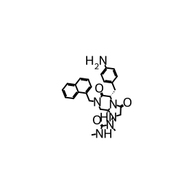 CNC(=O)N(C)N1CC(=O)N2[C@@H](Cc3ccc(N)cc3)C(=O)N(Cc3cccc4ccccc34)C[C@@H]21